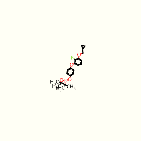 CC1(C)OB(Oc2ccc(Oc3cccc(OCC4CC4)c3F)cc2)C1(C)C